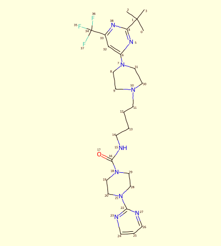 CC(C)(C)c1nc(N2CCN(CCCCNC(=O)N3CCN(c4ncccn4)CC3)CC2)cc(C(F)(F)F)n1